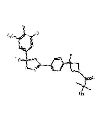 CC(C)(O)C(=O)N1CC(F)(c2ccc(C3=NOC(c4cc(Cl)c(Cl)c(C(F)(F)F)c4)(C(F)(F)F)C3)cc2)C1